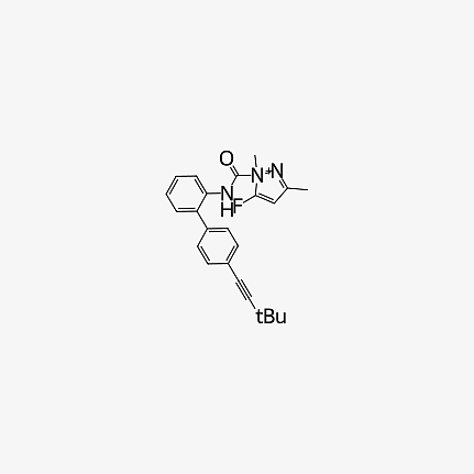 CC1=N[N+](C)(C(=O)Nc2ccccc2-c2ccc(C#CC(C)(C)C)cc2)C(F)=C1